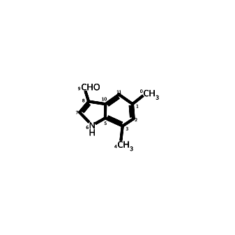 Cc1cc(C)c2[nH]cc(C=O)c2c1